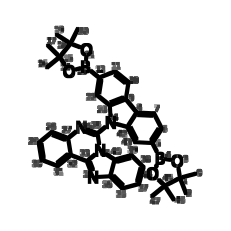 CC1(C)OB(c2ccc3c4ccc(B5OC(C)(C)C(C)(C)O5)cc4n(-c4nc5ccccc5c5nc6ccccc6n45)c3c2)OC1(C)C